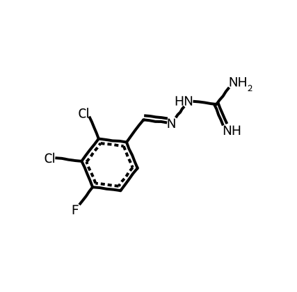 N=C(N)NN=Cc1ccc(F)c(Cl)c1Cl